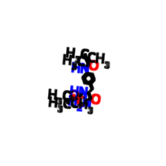 CC(C)(C)OC(=O)N[C@@H](Cc1ccc(NC(=O)C(C)(C)C)cc1)C(N)=O